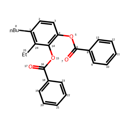 CCCCc1ccc(OC(=O)c2ccccc2)c(OC(=O)c2ccccc2)c1CC